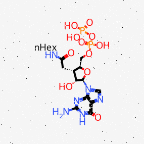 CCCCCCNC(=O)C[C@H]1[C@@H](O)[C@H](n2cnc3c(=O)[nH]c(N)nc32)O[C@@H]1COP(=O)(O)OP(=O)(O)O